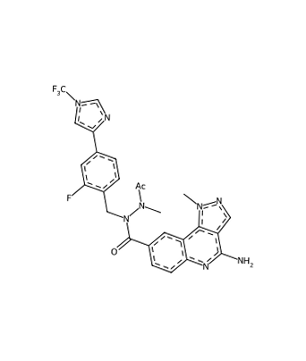 CC(=O)N(C)N(Cc1ccc(-c2cn(C(F)(F)F)cn2)cc1F)C(=O)c1ccc2nc(N)c3cnn(C)c3c2c1